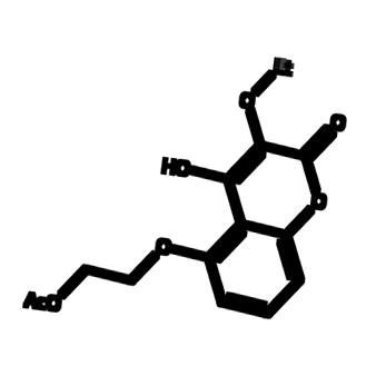 CCOc1c(O)c2c(OCCOC(C)=O)cccc2oc1=O